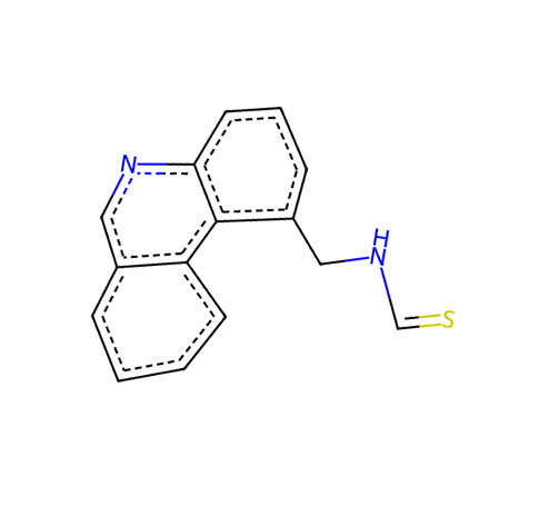 S=CNCc1cccc2ncc3ccccc3c12